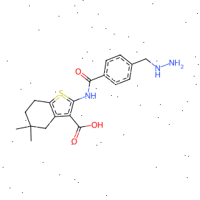 CC1(C)CCc2sc(NC(=O)c3ccc(CNN)cc3)c(C(=O)O)c2C1